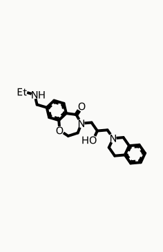 CCNCc1ccc2c(c1)OCCN(CC(O)CN1CCc3ccccc3C1)C2=O